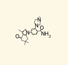 Cc1cn(-c2ccc(C(N)=O)c(N3CCN(C)CC3)c2)c2c1C(=O)CC(C)(C)C2